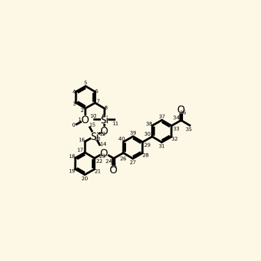 COc1ccccc1C[Si](C)(C)O[Si](C)(C)Cc1ccccc1OC(=O)c1ccc(-c2ccc(C(C)=O)cc2)cc1